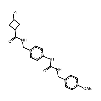 COc1ccc(CNC(=O)Nc2ccc(CNC(=O)C3CC(C(C)C)C3)cc2)cc1